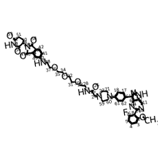 COc1cccc(F)c1-c1ncc2[nH]nc(-c3ccc(N4CCN(CC(=O)NCCOCCOCCOCCNc5ccc6c(c5)C(=O)N(C5CCC(=O)NC5=O)C6=O)CC4)cc3)c2n1